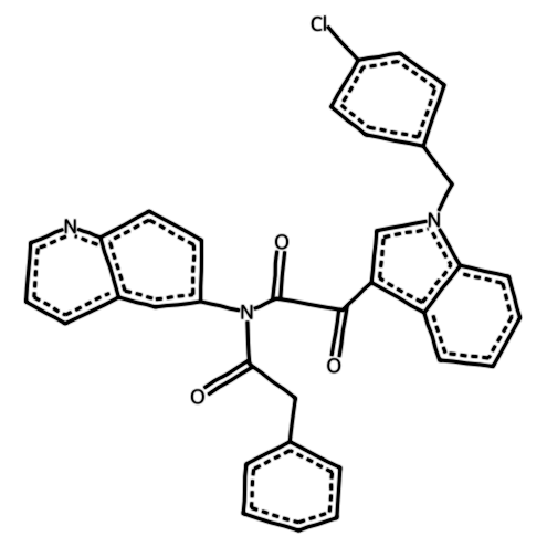 O=C(C(=O)N(C(=O)Cc1ccccc1)c1ccc2ncccc2c1)c1cn(Cc2ccc(Cl)cc2)c2ccccc12